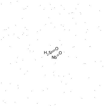 O=[SiH2].[O]=[Nb]